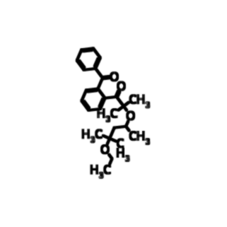 CCOC(C)(C)CC(C)OC(C)(C)C(=O)c1ccccc1C(=O)c1ccccc1